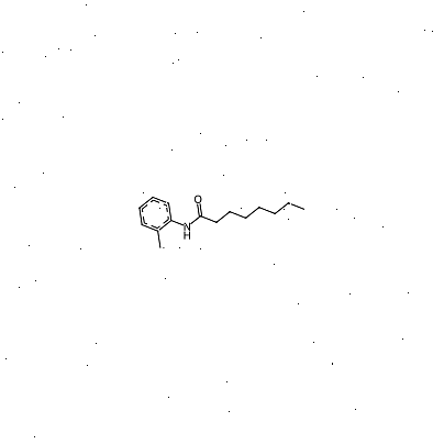 [CH2]c1ccccc1NC(=O)CCCCCCC